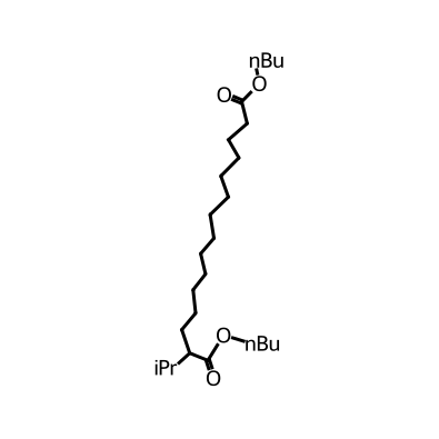 CCCCOC(=O)CCCCCCCCCCCCC(C(=O)OCCCC)C(C)C